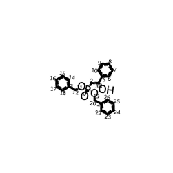 O=P(CC(O)c1ccccc1)(OCc1ccccc1)OCc1ccccc1